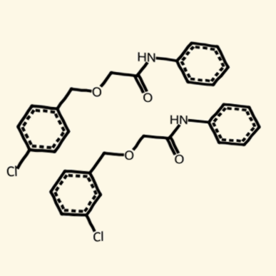 O=C(COCc1ccc(Cl)cc1)Nc1ccccc1.O=C(COCc1cccc(Cl)c1)Nc1ccccc1